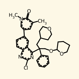 Cc1cc(-c2ccc3nc(Cl)nc(C(COC4CCCCO4)(CC4CCOCC4)c4ccccc4)c3c2)cn(C)c1=O